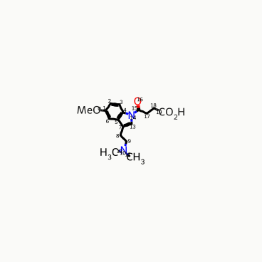 COc1ccc2c(c1)c(CCN(C)C)cn2C(=O)CCC(=O)O